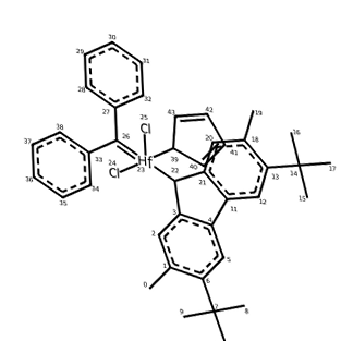 Cc1cc2c(cc1C(C)(C)C)-c1cc(C(C)(C)C)c(C)cc1[CH]2[Hf]([Cl])([Cl])(=[C](c1ccccc1)c1ccccc1)[CH]1C=CC=C1